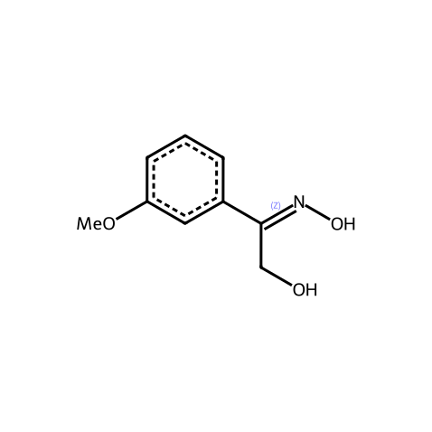 COc1cccc(/C(CO)=N/O)c1